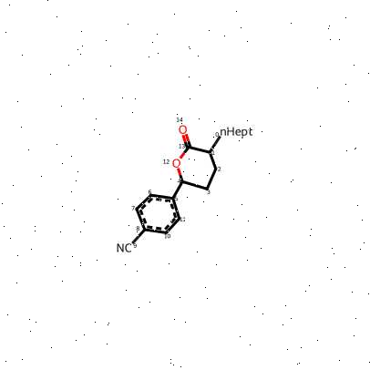 CCCCCCCC1CCC(c2ccc(C#N)cc2)OC1=O